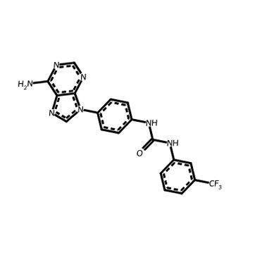 Nc1ncnc2c1ncn2-c1ccc(NC(=O)Nc2cccc(C(F)(F)F)c2)cc1